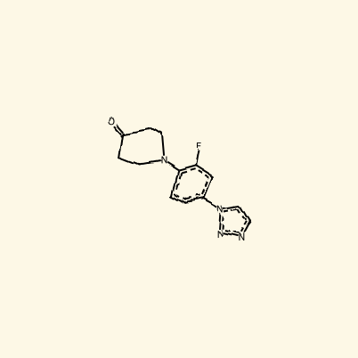 O=C1CCN(c2ccc(-n3ccnn3)cc2F)CC1